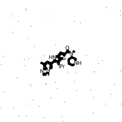 Cc1cc(-c2[nH]c3cc(C(=O)N(C)[C@@H]4CCCNC4)sc3c2C(C)C)cn2ncnc12